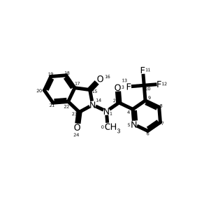 CN(C(=O)c1ncccc1C(F)(F)F)N1C(=O)c2ccccc2C1=O